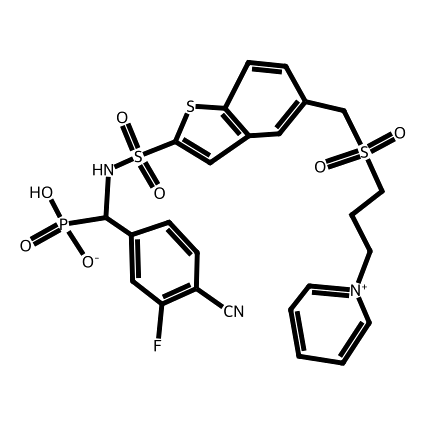 N#Cc1ccc(C(NS(=O)(=O)c2cc3cc(CS(=O)(=O)CCC[n+]4ccccc4)ccc3s2)P(=O)([O-])O)cc1F